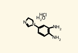 Cl.Nc1ccc(N2C=NCC2)cc1N.O